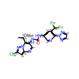 CO[C@@H](C)c1c(NC(=O)Nc2cnc(-n3nccn3)c(C(F)F)c2)cnc2cc(Cl)nn12